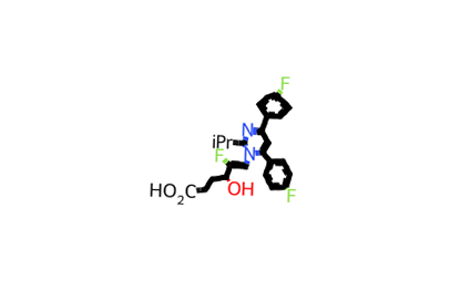 CC(C)C1N=C(c2ccc(F)cc2)C=C(c2ccc(F)cc2)N1C=C(F)[C@@H](O)CCC(=O)O